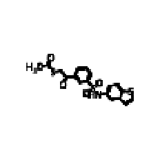 CC(=O)SCC(=O)c1cccc(S(=O)(=O)Nc2ccc3sccc3c2)c1